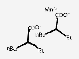 CCCCC(CC)C(=O)[O-].CCCCC(CC)C(=O)[O-].[Mn+3]